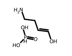 NCCC=CO.O=[PH](O)O